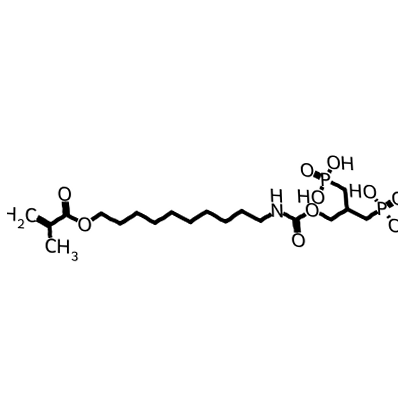 C=C(C)C(=O)OCCCCCCCCCCNC(=O)OCC(CP(=O)(O)O)CP(=O)(O)O